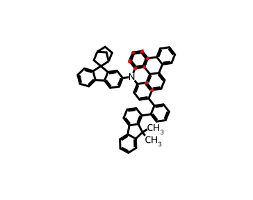 CC1(C)c2ccccc2-c2cccc(-c3ccccc3-c3ccc(N(c4ccc5c(c4)C4(CC6CCC4C6)c4ccccc4-5)c4ccccc4-c4ccccc4-c4ccccc4-c4ccccc4)cc3)c21